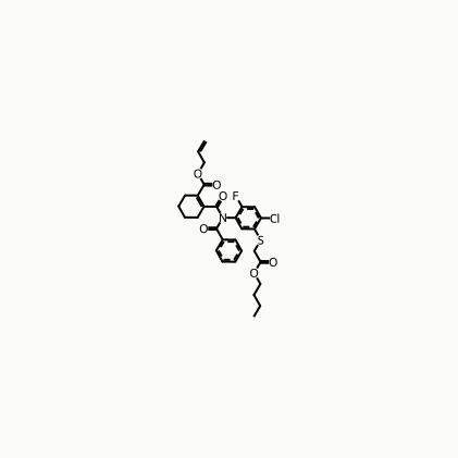 C=CCOC(=O)C1=C(C(=O)N(C(=O)c2ccccc2)c2cc(SCC(=O)OCCCC)c(Cl)cc2F)CCCC1